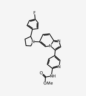 COC(=O)Nc1ccc(-c2cnc3ccc(N4CCCC4c4ccc(F)cc4)cn23)cn1